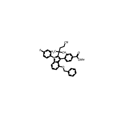 COC(=O)c1ccc(-c2c(C(C)(C)CCC#N)n(-c3ccc(F)cc3)c3cccc(OCc4ccccc4)c23)cc1